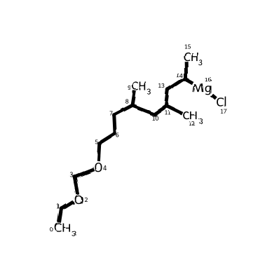 CCOCOCCCC(C)CC(C)C[CH](C)[Mg][Cl]